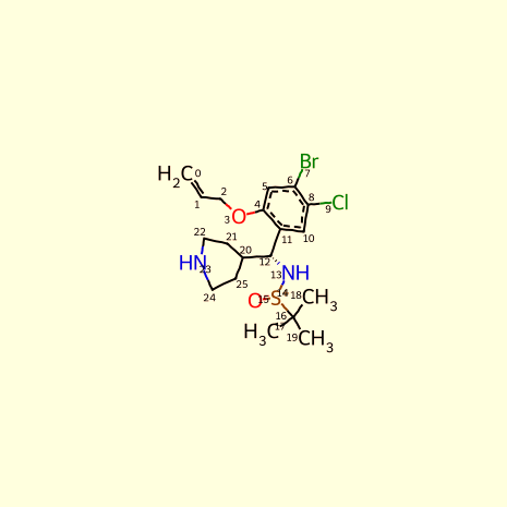 C=CCOc1cc(Br)c(Cl)cc1[C@H](N[S+]([O-])C(C)(C)C)C1CCNCC1